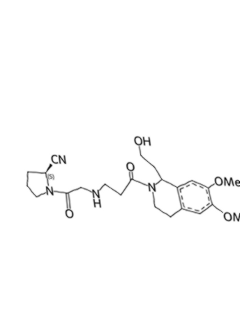 COc1cc2c(cc1OC)C(CCO)N(C(=O)CCNCC(=O)N1CCC[C@H]1C#N)CC2